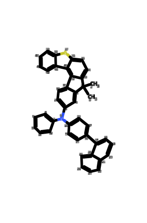 CC1(C)c2cc(N(c3ccccc3)c3ccc(-c4cccc5ccccc45)cc3)ccc2-c2c1ccc1sc3ccccc3c21